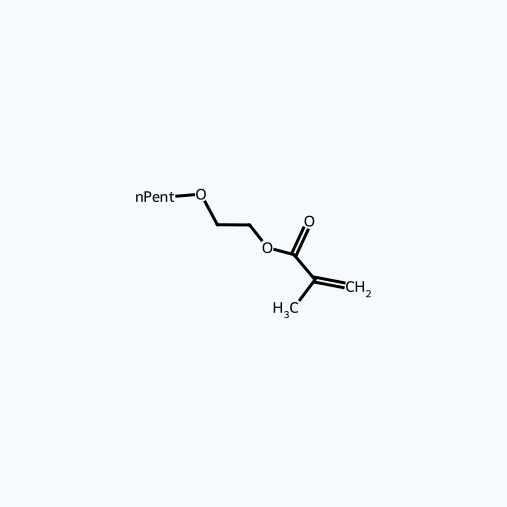 C=C(C)C(=O)OCCOCCCCC